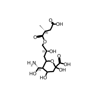 C[C@H](CC(=O)O)C(=O)OC[C@@H](O)CC1OC(O)(C(=O)O)CC(O)C1[C@@H](N)O